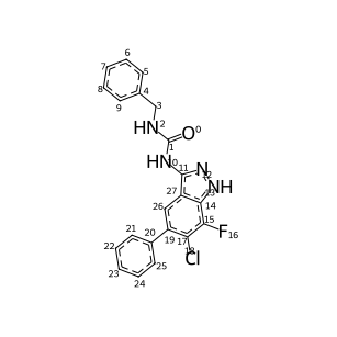 O=C(NCc1ccccc1)Nc1n[nH]c2c(F)c(Cl)c(-c3ccccc3)cc12